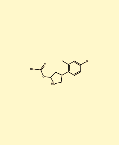 Cc1cc(Br)ccc1C1CNC(OC(=O)C(C)(C)C)C1